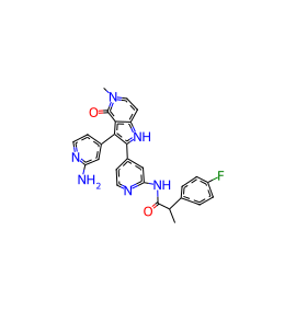 CC(C(=O)Nc1cc(-c2[nH]c3ccn(C)c(=O)c3c2-c2ccnc(N)c2)ccn1)c1ccc(F)cc1